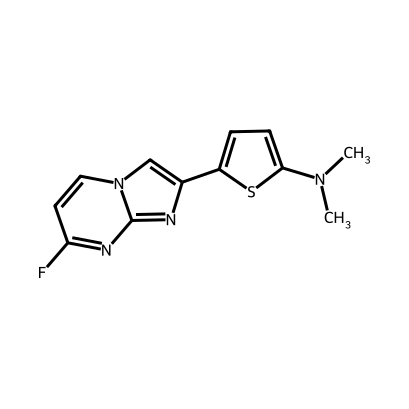 CN(C)c1ccc(-c2cn3ccc(F)nc3n2)s1